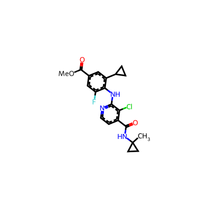 COC(=O)c1cc(F)c(Nc2nccc(C(=O)NC3(C)CC3)c2Cl)c(C2CC2)c1